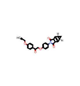 C#CCOc1ccc(C(=O)COc2ccc(N3C(=O)C4C(C3=O)C3C=CC4[C@H]4C[C@@H]34)cc2)cc1